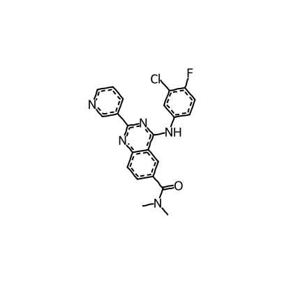 CN(C)C(=O)c1ccc2nc(-c3cccnc3)nc(Nc3ccc(F)c(Cl)c3)c2c1